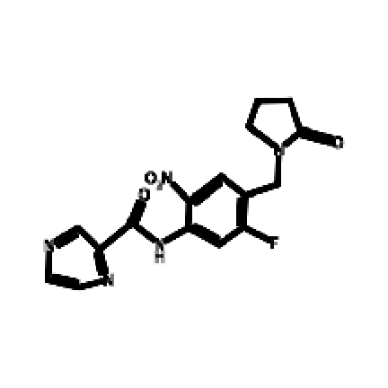 O=C(Nc1cc(F)c(CN2CCCC2=O)cc1[N+](=O)[O-])c1cnccn1